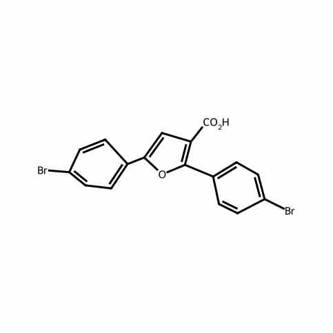 O=C(O)c1cc(-c2ccc(Br)cc2)oc1-c1ccc(Br)cc1